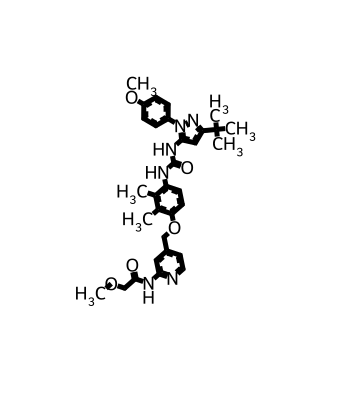 COCC(=O)Nc1cc(COc2ccc(NC(=O)Nc3cc(C(C)(C)C)nn3-c3ccc(OC)cc3)c(C)c2C)ccn1